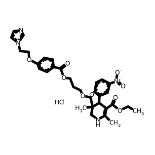 CCOC(=O)C1=C(C)NCC(C)(C(=O)OCCCOC(=O)c2ccc(OCCn3ccnc3)cc2)C1c1cccc([N+](=O)[O-])c1.Cl